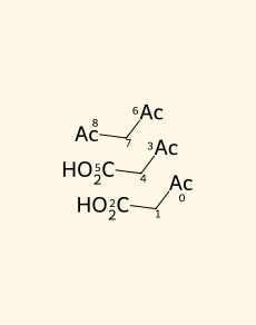 CC(=O)CC(=O)O.CC(=O)CC(=O)O.CC(=O)CC(C)=O